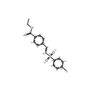 CCOC(=O)c1ccc(C=NS(=O)(=O)c2ccc(C)cc2)cc1